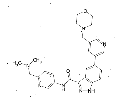 CN(C)Cc1ccc(NC(=O)c2n[nH]c3ccc(-c4cncc(CN5CCOCC5)c4)cc23)cn1